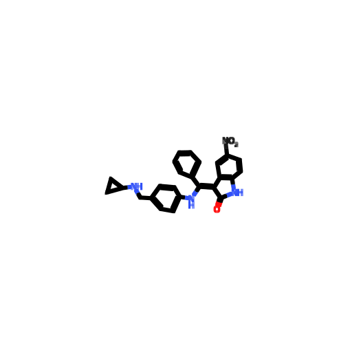 O=C1Nc2ccc([N+](=O)[O-])cc2C1=C(Nc1ccc(CNC2CC2)cc1)c1ccccc1